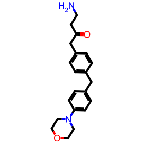 NCCC(=O)Cc1ccc(Cc2ccc(N3CCOCC3)cc2)cc1